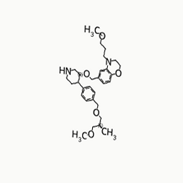 COCCCN1CCOc2ccc(CO[C@H]3CNCCC3c3ccc(COC[C@@H](C)COC)cc3)cc21